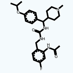 CC(=O)Nc1cc(F)ccc1CNC(=O)NC(c1ccc(OC(C)C)cc1)C1CCN(C)CC1